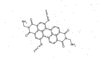 NCN1C(=O)c2ccc3c4c(N=C=S)cc5c6c(cc(N=C=S)c(c7ccc(c2c37)C1=O)c64)C(=O)N(CN)C5=O